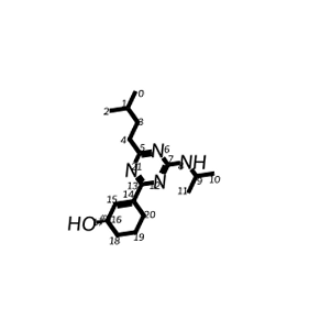 CC(C)CCc1nc(NC(C)C)nc(C2=C[C@H](O)CCC2)n1